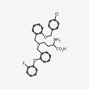 NC(CCN(Cc1ccccc1OCc1ccc(Cl)cc1)Cc1ccccc1Oc1ccccc1F)C(=O)O